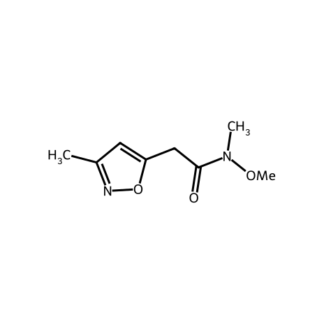 CON(C)C(=O)Cc1cc(C)no1